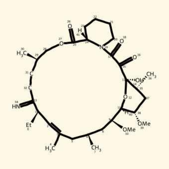 CC[C@@H]1/C=C(\C)C[C@H](C)C[C@H](OC)[C@H]2O[C@@](O)(C(=O)C(=O)N3CCCC[C@H]3C(=O)OC[C@H](C)CCC1=N)[C@H](C)C[C@@H]2OC